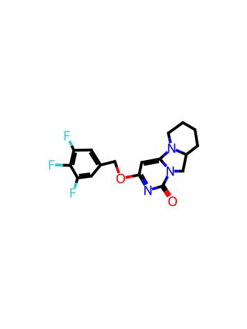 O=c1nc(OCc2cc(F)c(F)c(F)c2)cc2n1CC1CCCCN21